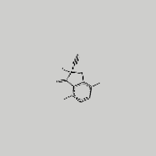 Cc1ccc(C)c2c1CC(F)(C#N)C2=O